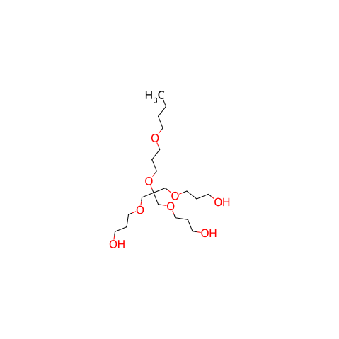 CCCCOCCCOC(COCCCO)(COCCCO)COCCCO